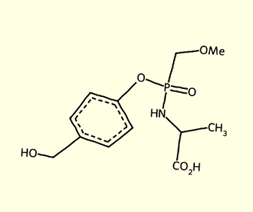 COCP(=O)(NC(C)C(=O)O)Oc1ccc(CO)cc1